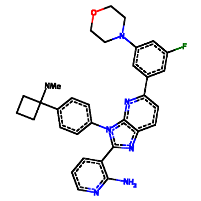 CNC1(c2ccc(-n3c(-c4cccnc4N)nc4ccc(-c5cc(F)cc(N6CCOCC6)c5)nc43)cc2)CCC1